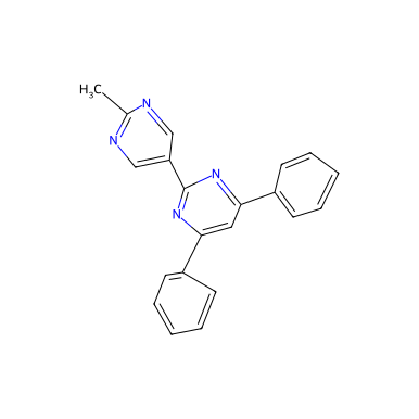 Cc1ncc(-c2nc(-c3ccccc3)cc(-c3ccccc3)n2)cn1